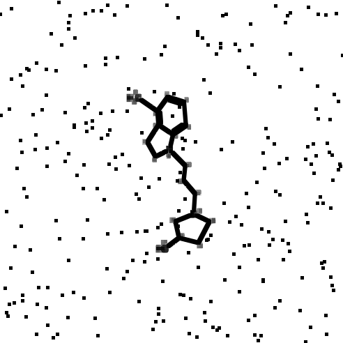 Cc1cccc2c1CCN2CCCN1CCC(O)C1